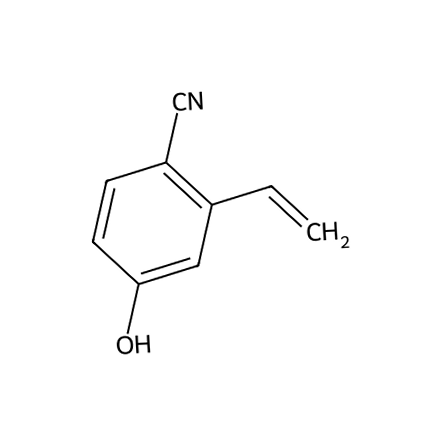 C=Cc1cc(O)ccc1C#N